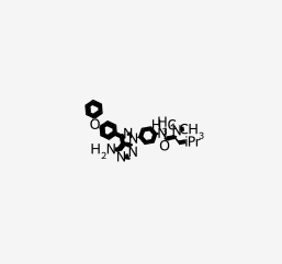 CC(C)C[C@@H](C(=O)N[C@H]1CC[C@H](n2nc(-c3ccc(Oc4ccccc4)cc3)c3c(N)ncnc32)CC1)N(C)C